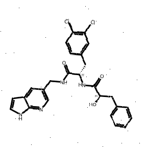 O=C(N[C@@H](Cc1ccc(Cl)c(Cl)c1)C(=O)NCc1cnc2[nH]ccc2c1)[C@H](O)Cc1ccccc1